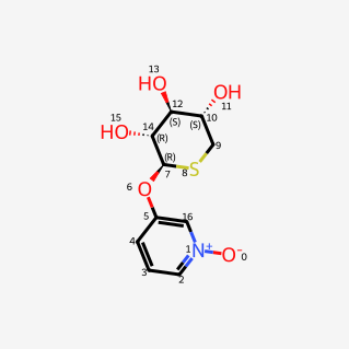 [O-][n+]1cccc(O[C@@H]2SC[C@@H](O)[C@H](O)[C@H]2O)c1